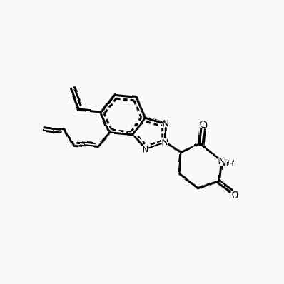 C=C/C=C\c1c(C=C)ccc2nn(C3CCC(=O)NC3=O)nc12